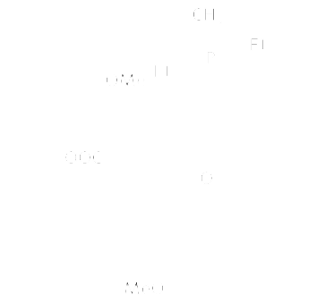 CC[P+](C)(CC)CCOCCOC.COCC(=O)[O-]